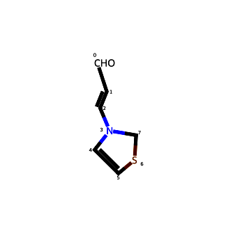 O=CC=CN1C=CSC1